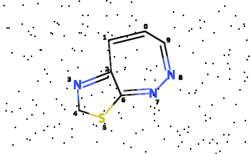 C1=CC2=NCSC2=NN=C1